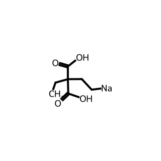 CCC(C[CH2][Na])(C(=O)O)C(=O)O